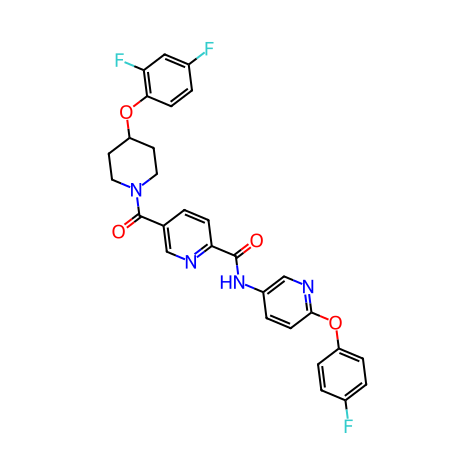 O=C(Nc1ccc(Oc2ccc(F)cc2)nc1)c1ccc(C(=O)N2CCC(Oc3ccc(F)cc3F)CC2)cn1